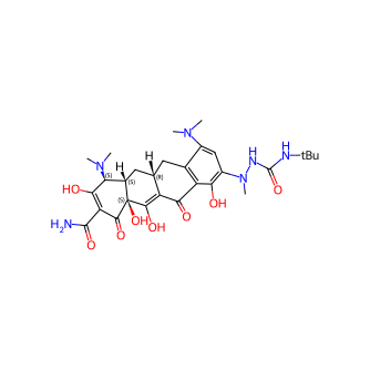 CN(C)c1cc(N(C)NC(=O)NC(C)(C)C)c(O)c2c1C[C@H]1C[C@H]3[C@H](N(C)C)C(O)=C(C(N)=O)C(=O)[C@@]3(O)C(O)=C1C2=O